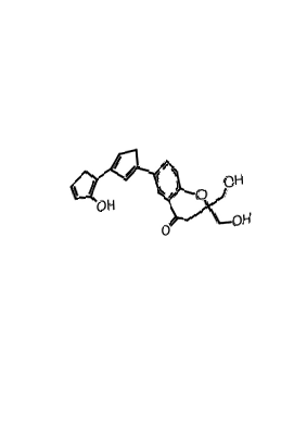 O=C1CC(CO)(CO)Oc2ccc(C3=CC(C4=C(O)C=CC4)=CC3)cc21